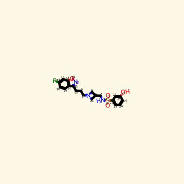 O=S(=O)(NCC1CN(CCCc2noc3cc(F)ccc23)C1)c1cccc(O)c1